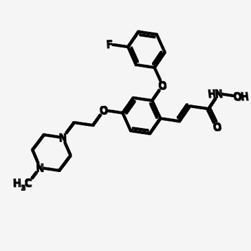 CN1CCN(CCOc2ccc(/C=C/C(=O)NO)c(Oc3cccc(F)c3)c2)CC1